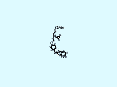 COCCCN(CCOc1ccc(Oc2nc3ncccc3s2)cc1)C1CC1